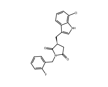 O=C1C[C@H](Cc2c[nH]c3c(Cl)cccc23)C(=O)N1Cc1ccccc1F